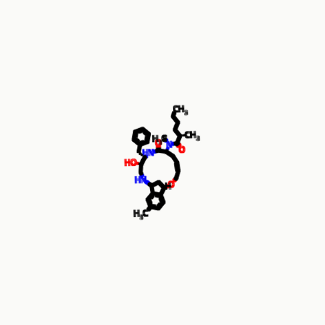 CCCC[C@H](C)C(=O)N(C)[C@H]1CC=CCO[C@@H]2CC(NC[C@@H](O)[C@H](Cc3ccccc3)NC1=O)c1cc(C)ccc12